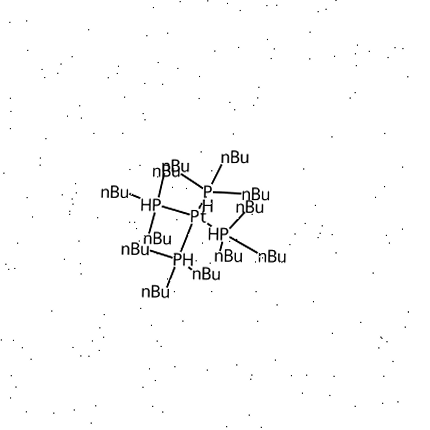 CCCC[PH](CCCC)(CCCC)[Pt]([PH](CCCC)(CCCC)CCCC)([PH](CCCC)(CCCC)CCCC)[PH](CCCC)(CCCC)CCCC